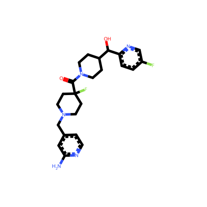 Nc1cc(CN2CCC(F)(C(=O)N3CCC(C(O)c4ccc(F)cn4)CC3)CC2)ccn1